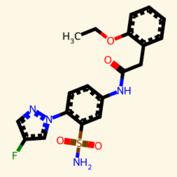 CCOc1ccccc1CC(=O)Nc1ccc(-n2cc(F)cn2)c(S(N)(=O)=O)c1